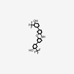 Oc1ccc(-c2ccc3c(c2)Oc2cc(-c4ccc(O)c(C(F)(F)F)c4)ccc2N3)cc1C(F)(F)F